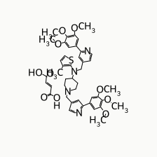 COc1cc(-c2cc(CN3CCC(N(Cc4ccnc(-c5cc(OC)c(OC)c(OC)c5)c4)c4sccc4C)CC3)ccn2)cc(OC)c1OC.O=C(O)C=CC(=O)O